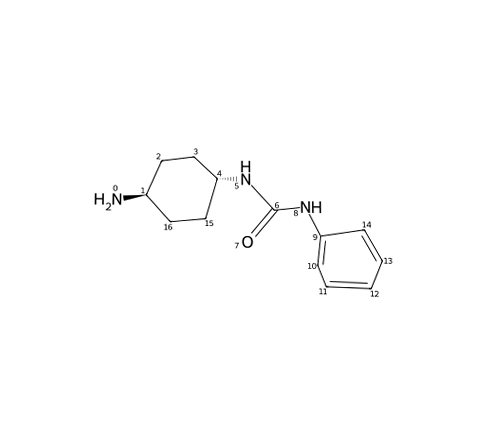 N[C@H]1CC[C@H](NC(=O)Nc2ccccc2)CC1